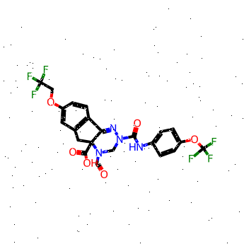 O=CN1CN(C(=O)Nc2ccc(OC(F)(F)F)cc2)N=C2c3ccc(OCC(F)(F)F)cc3CC21C(=O)O